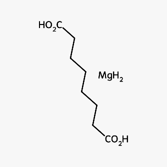 O=C(O)CCCCCCC(=O)O.[MgH2]